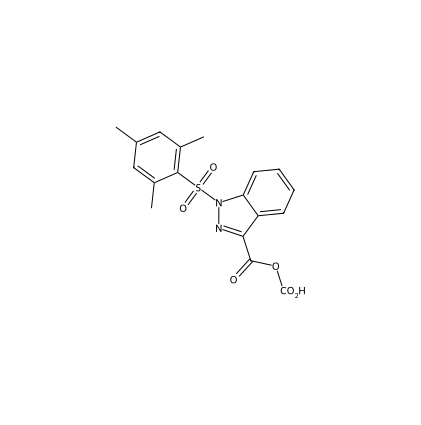 Cc1cc(C)c(S(=O)(=O)n2nc(C(=O)OC(=O)O)c3ccccc32)c(C)c1